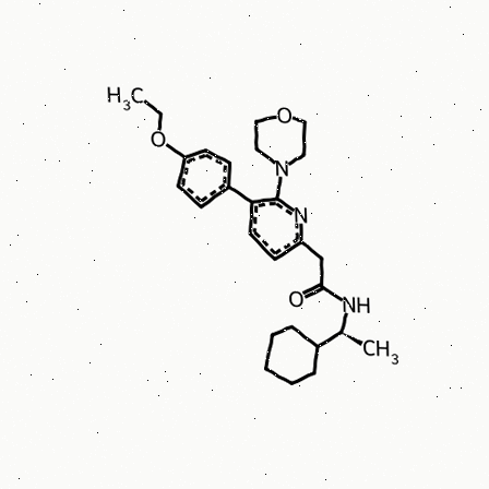 CCOc1ccc(-c2ccc(CC(=O)N[C@@H](C)C3CCCCC3)nc2N2CCOCC2)cc1